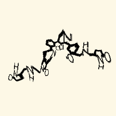 COc1cc(-c2nccc(-c3cccc(-c4cc5c(cn4)C(=O)N(CCNCC4CCC(=O)N4)C5)c3Cl)c2Cl)ccc1CNCC1CCC(=O)N1